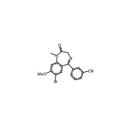 COc1cc2c(cc1Br)C(c1cccc(C#N)c1)=NCC(=O)N2C